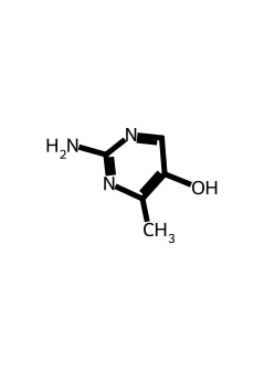 Cc1nc(N)ncc1O